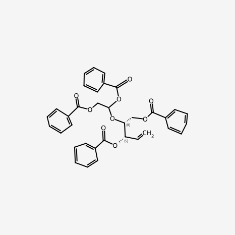 C=C[C@H](OC(=O)c1ccccc1)[C@@H](COC(=O)c1ccccc1)OC(COC(=O)c1ccccc1)OC(=O)c1ccccc1